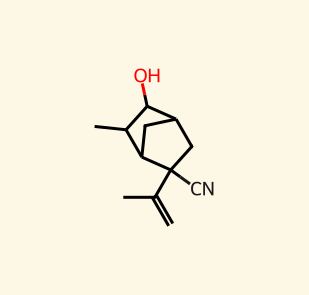 C=C(C)C1(C#N)CC2CC1C(C)C2O